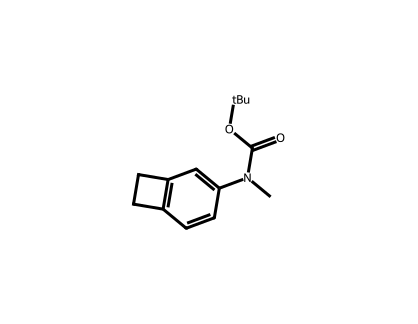 CN(C(=O)OC(C)(C)C)c1ccc2c(c1)CC2